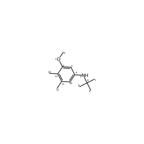 COc1cc(NC(C)(C)C)cc(C)c1C